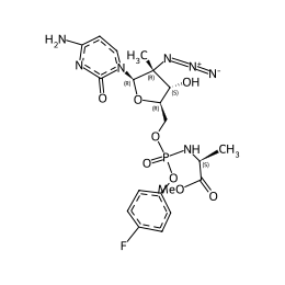 COC(=O)[C@H](C)NP(=O)(OC[C@H]1O[C@@H](n2ccc(N)nc2=O)[C@](C)(N=[N+]=[N-])[C@@H]1O)Oc1ccc(F)cc1